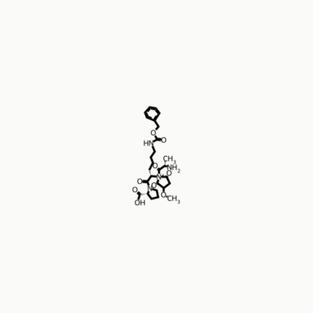 COC1CC(=O)[N+](C(=O)[C@H](C)N)([C@@H](CCCCNC(=O)OCc2ccccc2)C(=O)N2CCC[C@@H]2C(=O)O)C1=O